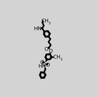 CCCC(=N)c1ccc(CCCC(=O)Oc2ccc(S(=O)(=O)NCc3ccccc3)cc2C)cc1